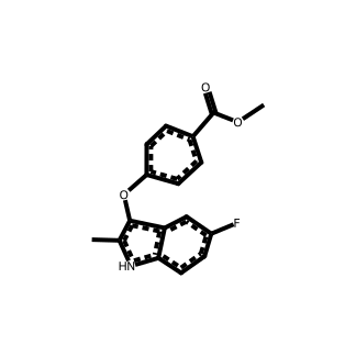 COC(=O)c1ccc(Oc2c(C)[nH]c3ccc(F)cc23)cc1